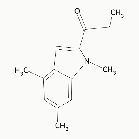 CCC(=O)c1cc2c(C)cc(C)cc2n1C